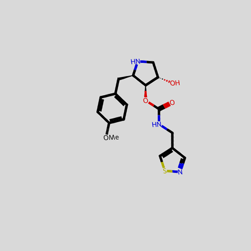 COc1ccc(C[C@H]2NC[C@H](O)[C@H]2OC(=O)NCc2cnsc2)cc1